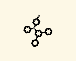 Brc1ccc(N(c2ccccc2)c2cc(-c3ccccc3)cc(-c3ccccc3)c2)cc1